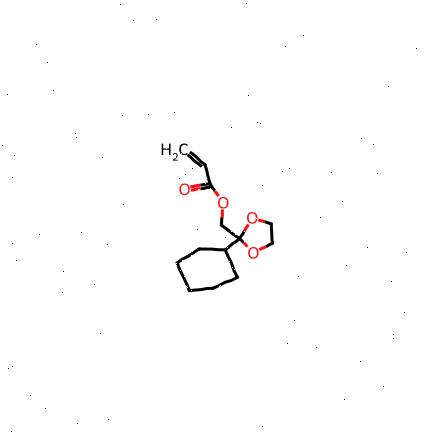 C=CC(=O)OCC1(C2CCCCC2)OCCO1